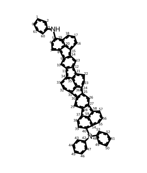 c1ccc(Nc2ccc3c4cc5c(cc4c4cccc2c43)c2ccc3c4cc6c(cc4c4ccc5c2c34)c2ccc(N(c3ccccc3)c3ccccc3)c3cccc6c32)cc1